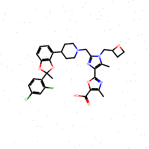 Cc1nc(-c2nc(CN3CCC(c4cccc5c4OC(C)(c4ccc(Cl)cc4F)O5)CC3)n(CC3CCO3)c2C)oc1C(=O)O